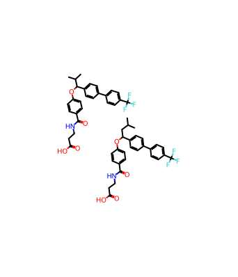 CC(C)C(Oc1ccc(C(=O)NCCC(=O)O)cc1)c1ccc(-c2ccc(C(F)(F)F)cc2)cc1.CC(C)CC(Oc1ccc(C(=O)NCCC(=O)O)cc1)c1ccc(-c2ccc(C(F)(F)F)cc2)cc1